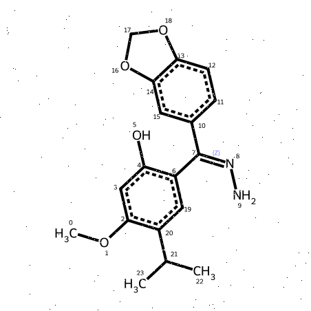 COc1cc(O)c(/C(=N\N)c2ccc3c(c2)OCO3)cc1C(C)C